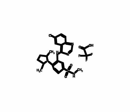 CNS(=O)(=O)c1ccc(N2C(C)CCC2C)c(Nc2ncnc3ccc(Cl)cc23)c1.O=C(O)C(F)(F)F